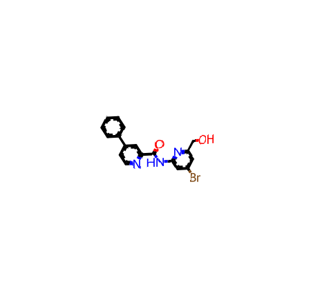 O=C(Nc1cc(Br)cc(CO)n1)c1cc(-c2ccccc2)ccn1